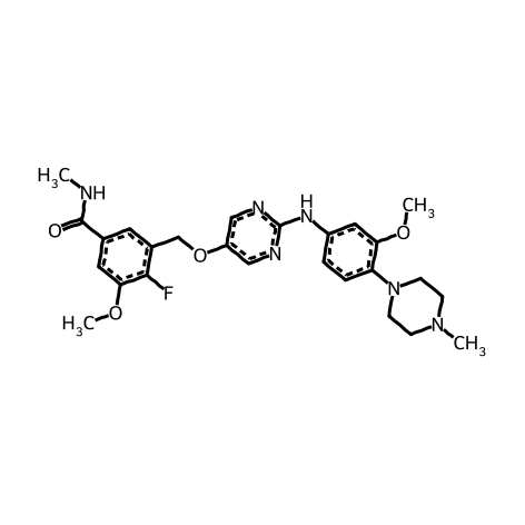 CNC(=O)c1cc(COc2cnc(Nc3ccc(N4CCN(C)CC4)c(OC)c3)nc2)c(F)c(OC)c1